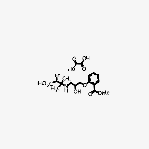 CCC(C(=O)O)C(C)(C)NCC(O)COc1ccccc1C(=O)OC.O=C(O)C(=O)O